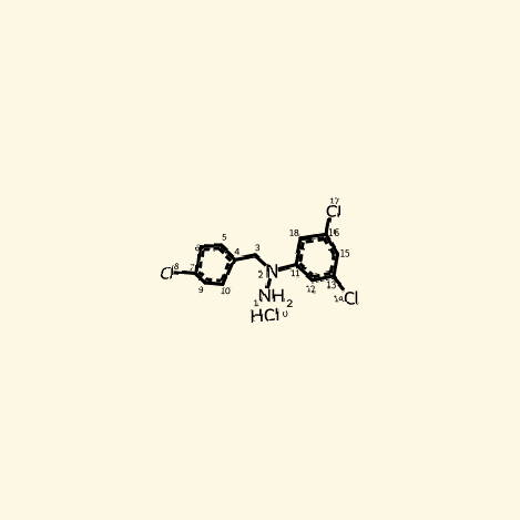 Cl.NN(Cc1ccc(Cl)cc1)c1cc(Cl)cc(Cl)c1